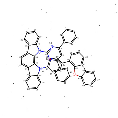 c1ccc(-c2cc(-c3ccccc3)nc(-n3c4ccccc4c4ccc5c6ccccc6n(-c6ccc(-c7cccc8c7oc7ccccc78)cc6)c5c43)n2)cc1